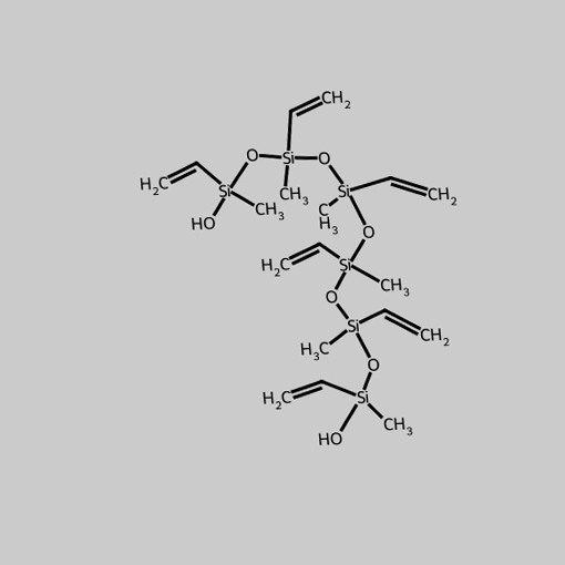 C=C[Si](C)(O)O[Si](C)(C=C)O[Si](C)(C=C)O[Si](C)(C=C)O[Si](C)(C=C)O[Si](C)(O)C=C